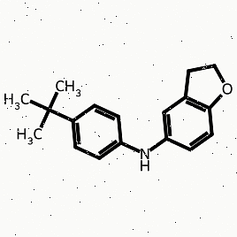 CC(C)(C)c1ccc(Nc2ccc3c(c2)CCO3)cc1